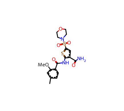 COc1cc(C)ccc1C(=O)Nc1sc(S(=O)(=O)N2CCOCC2)cc1C(N)=O